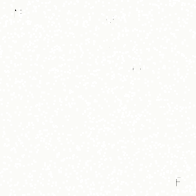 N#CC(=Cc1ccc(F)cc1)C(=O)O